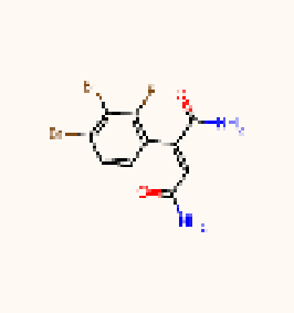 NC(=O)/C=C(/C(N)=O)c1ccc(Br)c(Br)c1Br